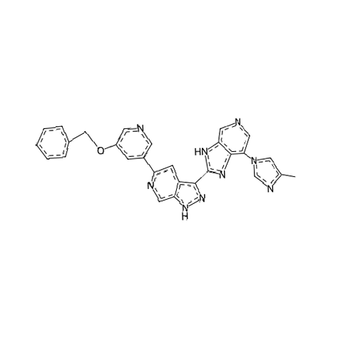 Cc1cn(-c2cncc3[nH]c(-c4n[nH]c5cnc(-c6cncc(OCc7ccccc7)c6)cc45)nc23)cn1